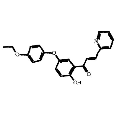 CCOc1ccc(Oc2ccc(O)c(C(=O)C=Cc3ccccn3)c2)cc1